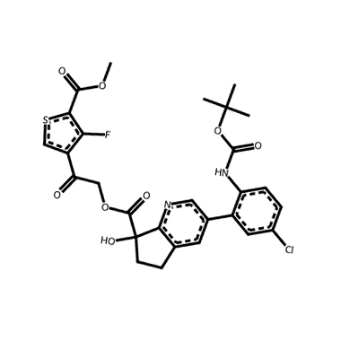 COC(=O)c1scc(C(=O)COC(=O)C2(O)CCc3cc(-c4cc(Cl)ccc4NC(=O)OC(C)(C)C)cnc32)c1F